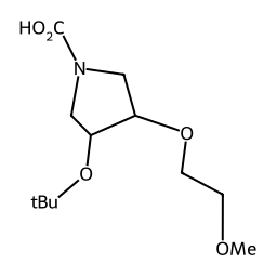 COCCOC1CN(C(=O)O)CC1OC(C)(C)C